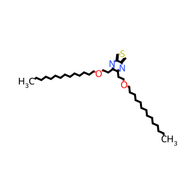 CCCCCCCCCCCCCCOCCc1nc2cscc2nc1CCOCCCCCCCCCCCCCC